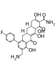 NCc1cc(-c2ccc(F)cc2)c2c(c1O)C(=O)C1=C(O)[C@]3(O)C(=O)C(C(N)=O)=C(O)C[C@@H]3C[C@@H]1C2